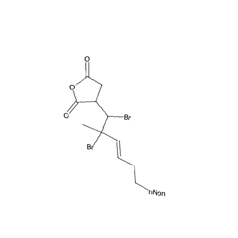 CCCCCCCCCCCC=CC(C)(Br)C(Br)C1CC(=O)OC1=O